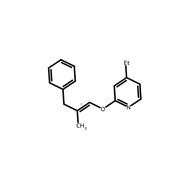 CCc1ccnc(O/C=C(\C)Cc2ccccc2)c1